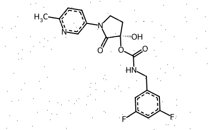 Cc1ccc(N2CC[C@@](O)(OC(=O)NCc3cc(F)cc(F)c3)C2=O)cn1